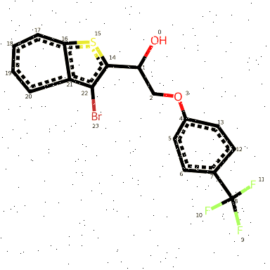 OC(COc1ccc(C(F)(F)F)cc1)c1sc2ccccc2c1Br